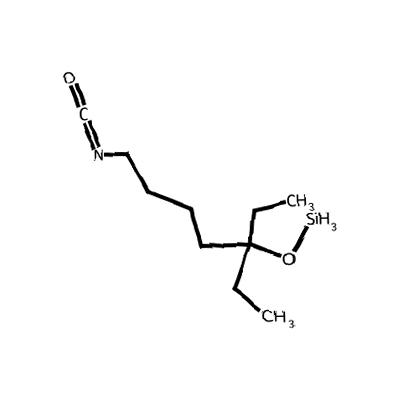 CCC(CC)(CCCCN=C=O)O[SiH3]